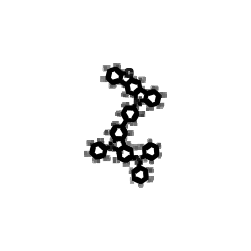 c1ccc(N(c2ccccc2)c2ccc3c(c2)c2cc(-c4ccc(-n5c6ccccc6c6cc7oc8ccccc8c7cc65)cc4)ccc2n3-c2ccccc2)cc1